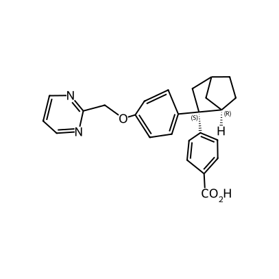 O=C(O)c1ccc([C@]2(c3ccc(OCc4ncccn4)cc3)CC3CC[C@@H]2C3)cc1